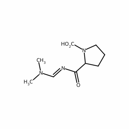 CN(C)C=NC(=O)C1CCCN1C(=O)O